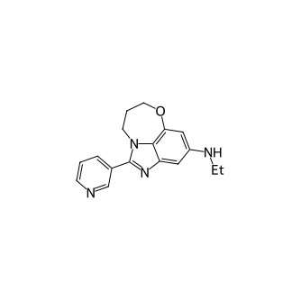 CCNc1cc2c3c(c1)nc(-c1cccnc1)n3CCCO2